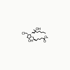 CCCCCC(C)(O)/C=C/[C@H]1[C@H](CCl)C[C@@H](O)[C@@H]1C/C=C\CCCC(=O)OC